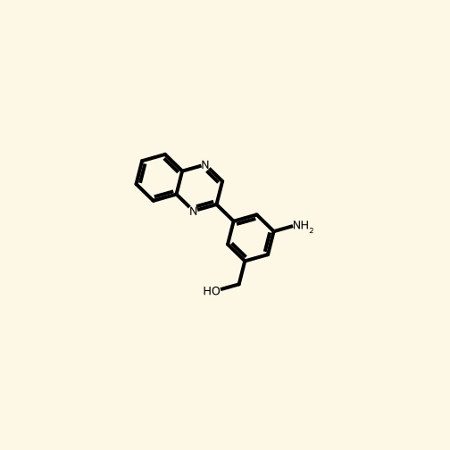 Nc1cc(CO)cc(-c2cnc3ccccc3n2)c1